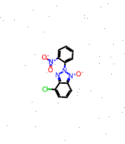 O=[N+]([O-])c1ccccc1-n1nc2c(Cl)cccc2[n+]1[O-]